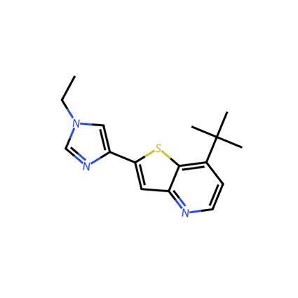 CCn1cnc(-c2cc3nccc(C(C)(C)C)c3s2)c1